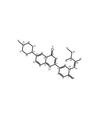 C=C1C=CC(c2cc(=O)n3cc(C4CCN(C)CC4)ccc3n2)=CN1/C=C(/C)C(C)CC